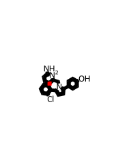 Nc1cccc(Cn2c(-c3ccc(O)cc3)ccc2-c2ccccc2Cl)n1